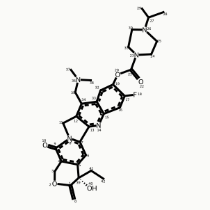 C=C1OCc2c(cc3n(c2=O)Cc2c-3nc3cc(F)c(OC(=O)N4CCN(C(C)C)CC4)cc3c2CN(C)C)[C@@]1(O)CC